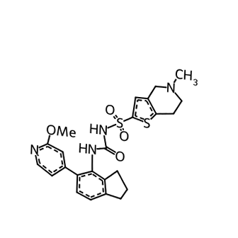 COc1cc(-c2ccc3c(c2NC(=O)NS(=O)(=O)c2cc4c(s2)CCN(C)C4)CCC3)ccn1